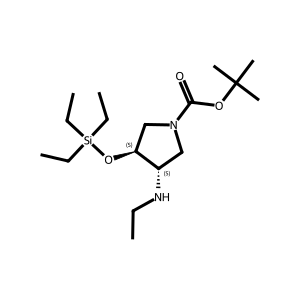 CCN[C@H]1CN(C(=O)OC(C)(C)C)C[C@@H]1O[Si](CC)(CC)CC